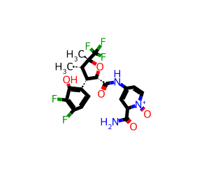 C[C@H]1[C@@H](c2ccc(F)c(F)c2O)[C@@H](C(=O)NC2=CC(C(N)=O)[N+](=O)C=C2)O[C@]1(C)C(F)(F)F